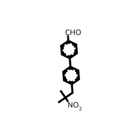 CC(C)(Cc1ccc(-c2ccc(C=O)cc2)cc1)[N+](=O)[O-]